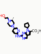 C[C@@H]1CN(c2ccc(Nc3ncc4cc(C(=O)O)n(C5CCCC5)c4n3)nc2)CCN1CCO